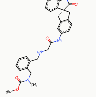 CN(Cc1ccccc1CNCC(=O)Nc1ccc2c(c1)C[C@@]1(C2)C(=O)Nc2ncccc21)C(=O)OC(C)(C)C